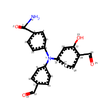 NC(=O)c1ccc(N(c2ccc(C=O)cc2)c2ccc(C=O)c(O)c2)cc1